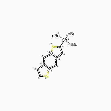 CCC[CH2][Sn]([CH2]CCC)([CH2]CCC)[c]1cc2cc3sccc3cc2s1